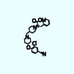 N#Cc1ccc(OC2CCN(CC3CCN([C@@H](Cc4ccccc4)C(=O)O)CC3)CC2)c(Cl)c1